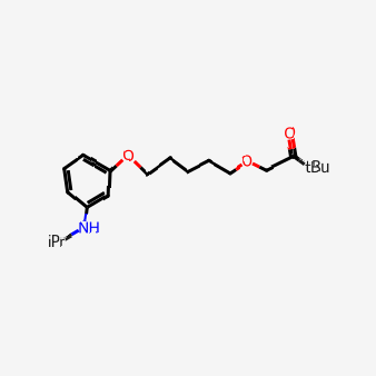 CC(C)Nc1cccc(OCCCCCOCC(=O)C(C)(C)C)c1